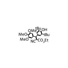 CCOC(=O)C(C#N)=C(c1cc(OC)c(OC)c(OC)c1)c1cc(C(C)(C)C)c(O)c(C(C)(C)C)c1